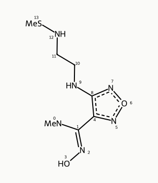 CN/C(=N\O)c1nonc1NCCNSC